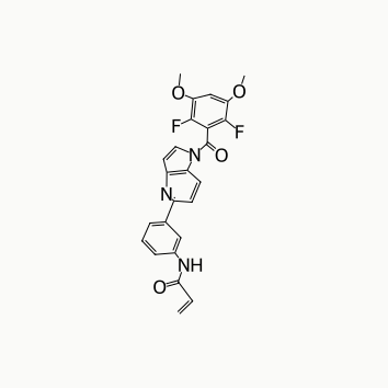 C=CC(=O)Nc1cccc(-c2ccc3c(ccn3C(=O)c3c(F)c(OC)cc(OC)c3F)n2)c1